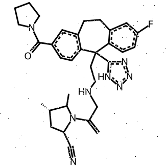 C=C(CNCCC1(c2nnn[nH]2)c2ccc(F)cc2CCc2cc(C(=O)N3CCCC3)ccc21)N1C(C#N)C[C@H](C)C1C